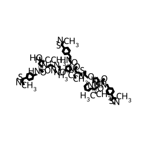 Cc1ncsc1-c1ccc(CNC(=O)[C@@H]2C[C@@H](OCc3csc([C@H](C(=O)N4C[C@H](Oc5cnc([C@H](C(=O)N6C[C@H](O)C[C@H]6C(=O)NCc6ccc(-c7scnc7C)cc6)C(C)C)nn5)C[C@H]4C(=O)NCc4ccc(-c5scnc5C)cc4)C(C)C)n3)CN2C(=O)[C@@H](c2ccccn2)C(C)C)cc1